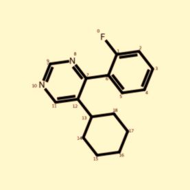 Fc1ccccc1-c1n[c]ncc1C1CCCCC1